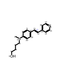 CN(CCCCO)c1ccc(/C=C/c2ccncc2)cc1